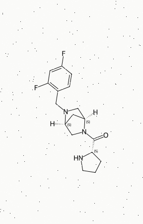 O=C([C@@H]1CCCN1)N1C[C@@H]2C[C@H]1CN2Cc1ccc(F)cc1F